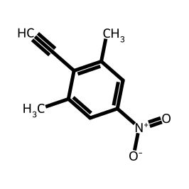 C#Cc1c(C)cc([N+](=O)[O-])cc1C